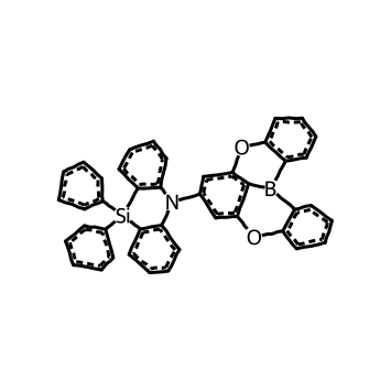 c1ccc([Si]2(c3ccccc3)c3ccccc3N(c3cc4c5c(c3)Oc3ccccc3B5c3ccccc3O4)c3ccccc32)cc1